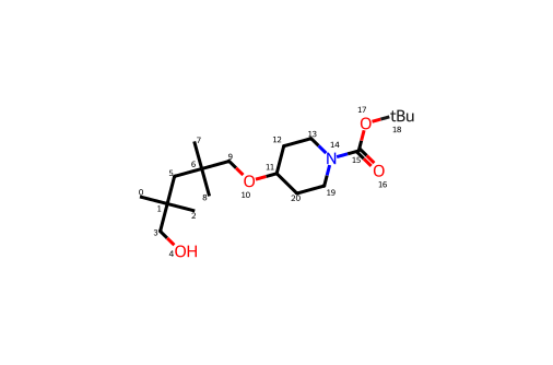 CC(C)(CO)CC(C)(C)COC1CCN(C(=O)OC(C)(C)C)CC1